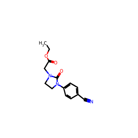 CCOC(=O)CN1CCN(c2ccc(C#N)cc2)C1=O